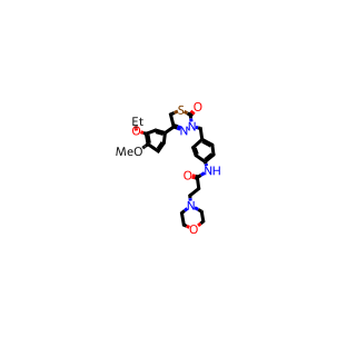 CCOc1cc(C2=NN(Cc3ccc(NC(=O)CCN4CCOCC4)cc3)C(=O)SC2)ccc1OC